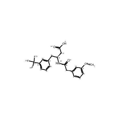 COc1cccc(CC(=O)N[C@H](CC(=O)O)Cc2cccc(C(F)(F)F)c2)c1